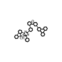 CC1(C)c2ccccc2-c2cccc(-c3nc(-c4ccccc4)nc(-c4cccc(-c5cccc6oc7ccc(-c8ccc9c%10ccccc%10c%10ccccc%10c9c8)cc7c56)c4)n3)c21